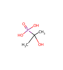 CC(C)(O)P(=O)(O)O